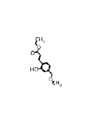 CCOC(=O)/C=C/c1ccc(COC)cc1O